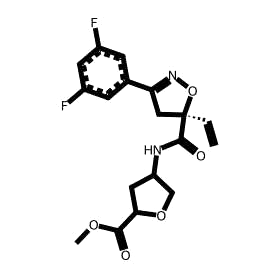 C=C[C@]1(C(=O)NC2COC(C(=O)OC)C2)CC(c2cc(F)cc(F)c2)=NO1